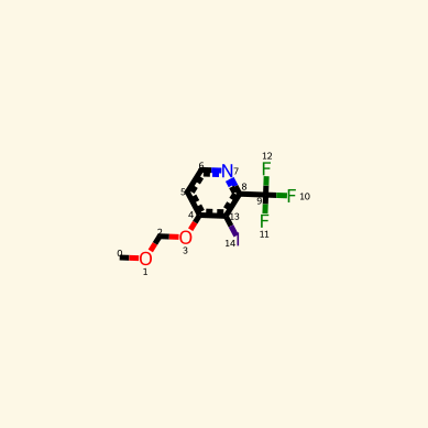 COCOc1ccnc(C(F)(F)F)c1I